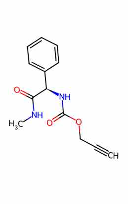 C#CCOC(=O)N[C@@H](C(=O)NC)c1ccccc1